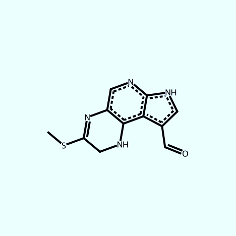 CSC1=Nc2cnc3[nH]cc(C=O)c3c2NC1